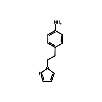 Nc1ccc(CCn2cccn2)cc1